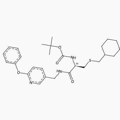 CC(C)(C)OC(=O)N[C@@H](CSCC1CCCCC1)C(=O)NCc1ccc(Oc2ccccc2)nc1